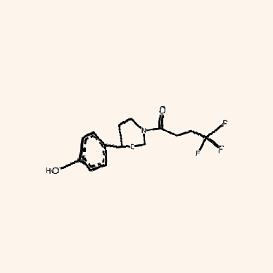 O=C(CCC(F)(F)F)N1CCC(c2ccc(O)cc2)CC1